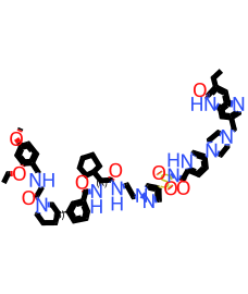 CCOc1cc(OC)ccc1CNCC(=O)N1CCC[C@@H](c2cccc(C(=O)N[C@@H](C(=O)NCCn3cc(S(=O)(=O)NC(=O)c4ccc(N5CCN(Cc6cnc7cc(CC)c(=O)[nH]c7c6)CC5)cn4)cn3)C3CCCCC3)c2)C1